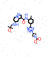 COC(=O)N1CC(n2nnc(-c3ccc(C)c(NC(=O)c4cnn5ccc(NCC(C)(C)OC)cc45)c3)n2)C1